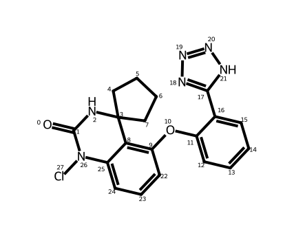 O=C1NC2(CCCC2)c2c(Oc3ccccc3-c3nnn[nH]3)cccc2N1Cl